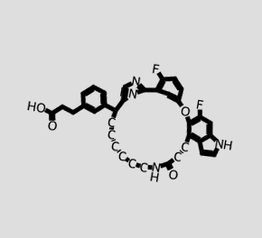 O=C(O)CCc1cccc(C2CCCCCCNC(=O)CCc3c(c(F)cc4[nH]ccc34)Oc3ccc(F)c(c3)-c3ncc2[nH]3)c1